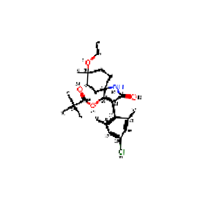 CCOC1(C)CCC2(CC1)NC(=O)C(c1c(C)cc(Cl)cc1C)=C2OC(=O)C(C)(C)C